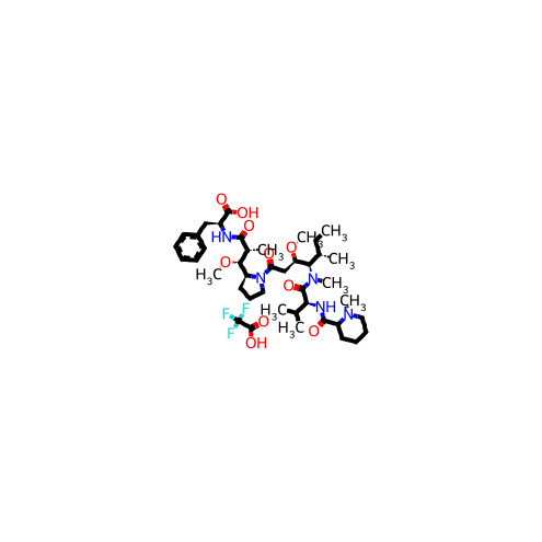 CC[C@H](C)[C@@H]([C@@H](CC(=O)N1CCC[C@H]1[C@H](OC)[C@@H](C)C(=O)N[C@@H](Cc1ccccc1)C(=O)O)OC)N(C)C(=O)[C@@H](NC(=O)C1CCCCN1C)C(C)C.O=C(O)C(F)(F)F